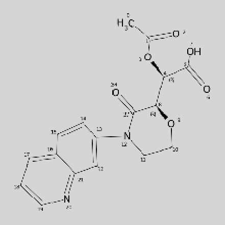 CC(=O)O[C@@H](C(=O)O)[C@H]1OCCN(c2ccc3cccnc3c2)C1=O